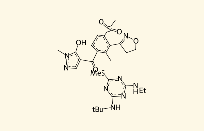 CCNc1nc(NC(C)(C)C)nc(SC)n1.Cc1c(C(=O)c2cnn(C)c2O)ccc(S(C)(=O)=O)c1C1=NOCC1